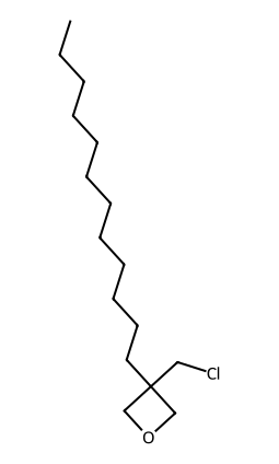 CCCCCCCCCCCCC1(CCl)COC1